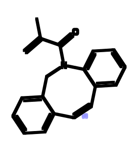 C=C(C)C(=O)N1Cc2ccccc2/C=C\c2ccccc21